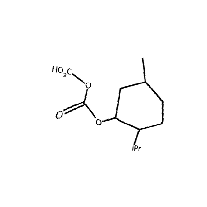 CC1CCC(C(C)C)C(OC(=O)OC(=O)O)C1